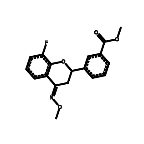 CON=C1CC(c2cccc(C(=O)OC)c2)Oc2c(F)cccc21